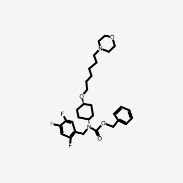 O=C(OCc1ccccc1)N(Cc1cc(F)c(F)cc1F)[C@H]1CC[C@H](OCCCCCCN2CCOCC2)CC1